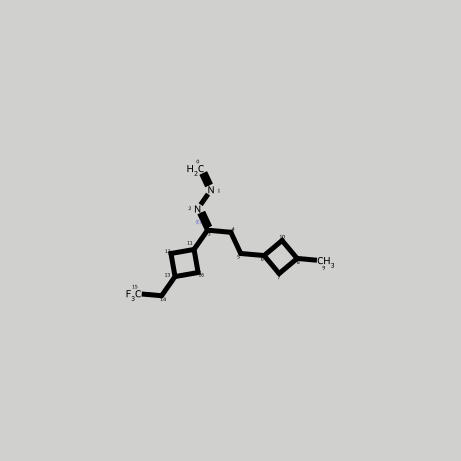 C=N/N=C(\CCC1CC(C)C1)C1CC(CC(F)(F)F)C1